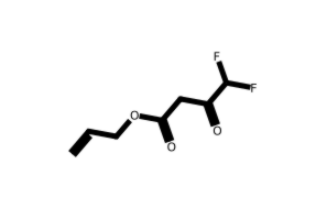 C=CCOC(=O)CC(=O)C(F)F